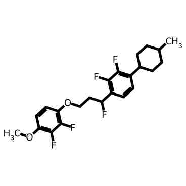 COc1ccc(OCCC(F)c2ccc(C3CCC(C)CC3)c(F)c2F)c(F)c1F